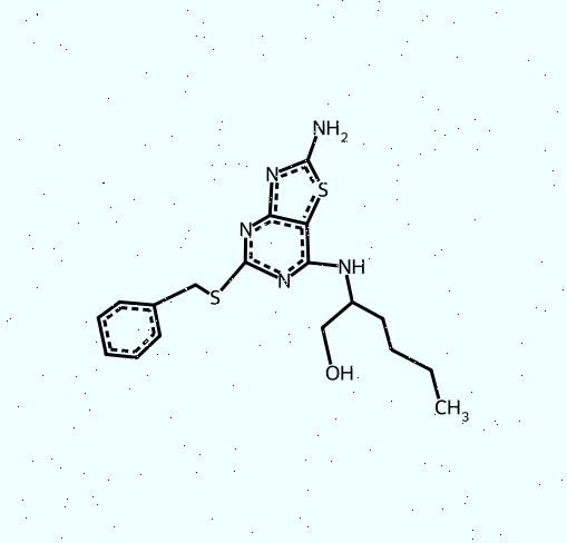 CCCCC(CO)Nc1nc(SCc2ccccc2)nc2nc(N)sc12